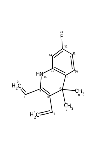 C=CC1=C(C=C)C(C)(C)c2ccc(F)cc2N1